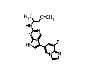 COCC(C)Nc1ncc2c(-c3cc(F)c4nccn4c3)c[nH]c2n1